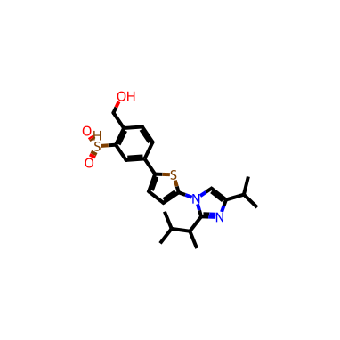 CC(C)c1cn(-c2ccc(-c3ccc(CO)c([SH](=O)=O)c3)s2)c(C(C)C(C)C)n1